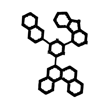 c1ccc2cc(-c3nc(-c4cc5ccccc5c5c4ccc4ccccc45)nc(-c4cncc5oc6ccccc6c45)n3)ccc2c1